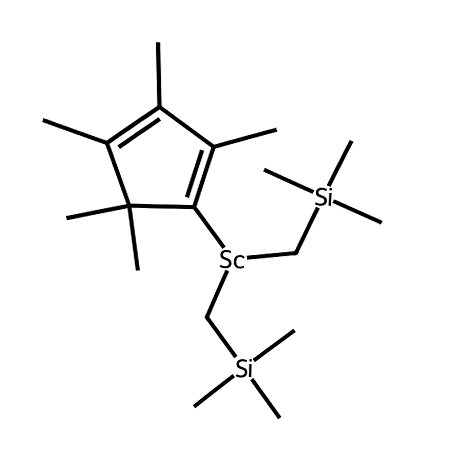 CC1=C(C)C(C)(C)[C]([Sc]([CH2][Si](C)(C)C)[CH2][Si](C)(C)C)=C1C